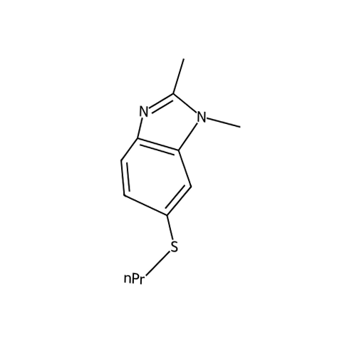 CCCSc1ccc2nc(C)n(C)c2c1